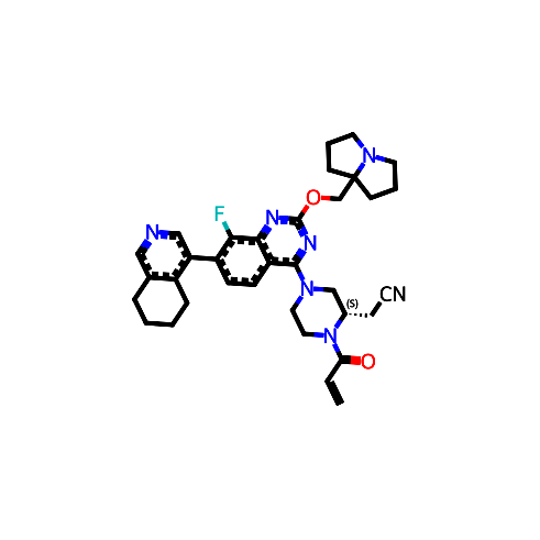 C=CC(=O)N1CCN(c2nc(OCC34CCCN3CCC4)nc3c(F)c(-c4cncc5c4CCCC5)ccc23)C[C@@H]1CC#N